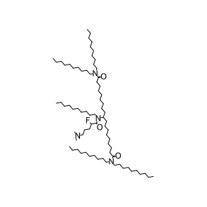 CCCCCCCCCCN(CCCCCCCCCC)C(=O)CCCCCCCCC(CCCCCCCCC(=O)N(CCCCCCCCCC)CCCCCCCCCC)N(CCCCCCCCCC)C(=O)C(F)CCCN(C)C